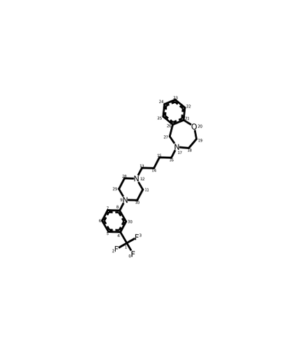 FC(F)(F)c1cccc(N2CCN(CCCCN3CCOc4ccccc4C3)CC2)c1